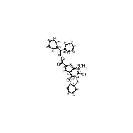 Cn1c(=O)n(Cc2ccccc2)c(=O)c2cc(C(=O)OCC(c3ccccc3)c3ccccc3)sc21